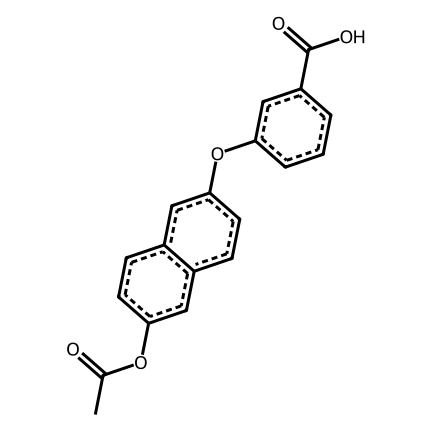 CC(=O)Oc1ccc2cc(Oc3cccc(C(=O)O)c3)ccc2c1